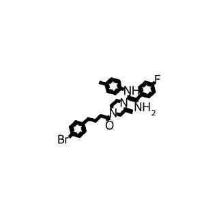 C=C1CN(C(=O)CCCc2ccc(Br)cc2)CCN1/C(Nc1ccc(C)cc1)=C(\N)c1ccc(F)cc1